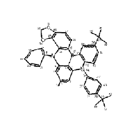 Cc1cc2c3c(c1)N(c1ccccc1)c1c(ccc4c1OCO4)B3c1cc(C(C)(C)C)ccc1N2c1ccc(C(C)(C)C)cc1